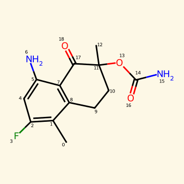 Cc1c(F)cc(N)c2c1CCC(C)(OC(N)=O)C2=O